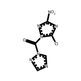 O=C(n1cncn1)n1nc([N+](=O)[O-])nc1Cl